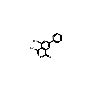 Nc1nc(-c2ccccc2)cc(C(=O)O)c1C(=O)O